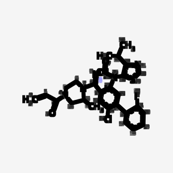 C=CC(=O)N1CCN(/C(=N/C)c2cc(Cl)c(-c3ccccc3F)cc2N(C=O)c2scnc2C(C)C)C(C)C1